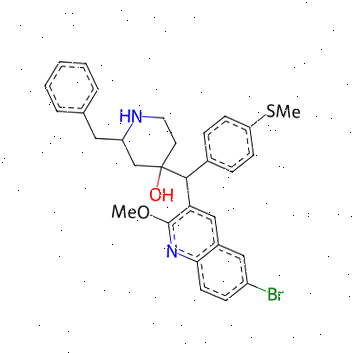 COc1nc2ccc(Br)cc2cc1C(c1ccc(SC)cc1)C1(O)CCNC(Cc2ccccc2)C1